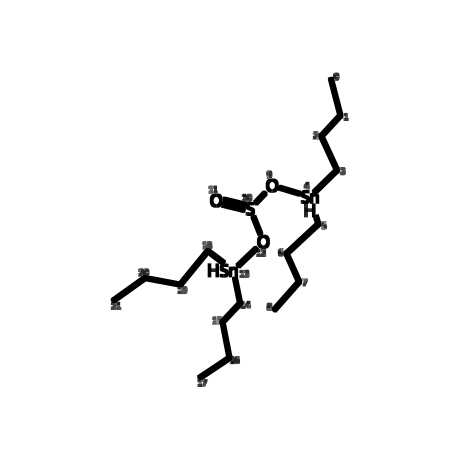 CCC[CH2][SnH]([CH2]CCC)[O]S(=O)[O][SnH]([CH2]CCC)[CH2]CCC